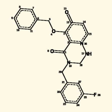 O=C1c2c(OCc3ccccc3)c(=O)ccn2NCN1Cc1cccc(F)c1